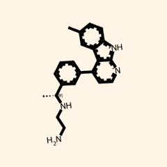 Cc1ccc2[nH]c3nccc(-c4cccc([C@@H](C)NCCN)c4)c3c2c1